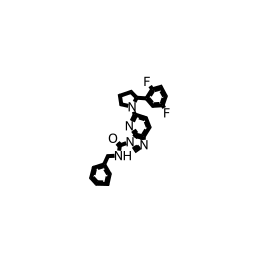 O=C(NCc1ccccc1)n1cnc2ccc(N3CCCC3c3cc(F)ccc3F)nc21